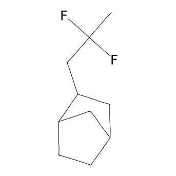 CC(F)(F)CC1CC2CCC1C2